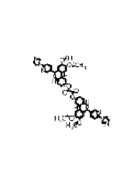 CCOc1cc2c(cc1OC)C(c1ccc(-n3ccnc3)nc1)=N[C@@H]1CC[C@@H](OC(=O)C(=O)O[C@@H]3CC[C@H]4N=C(c5ccc(-n6ccnc6)nc5)c5cc(OC)c(OCC)cc5[C@H]4C3)C[C@H]21